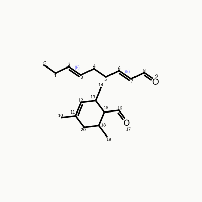 CC/C=C/CC/C=C/C=O.CC1=CC(C)C(C=O)C(C)C1